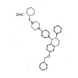 O=C[C@@H]1CCCC[C@H]1CN1CCN(c2ccc([C@@H]3c4ccc(OCc5ccccc5)cc4CC[C@@H]3c3ccccc3)cc2)CC1